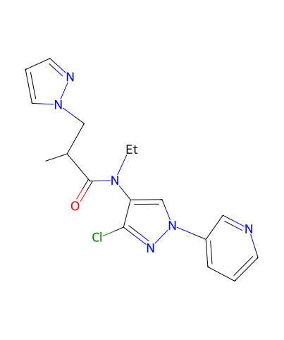 CCN(C(=O)C(C)Cn1cccn1)c1cn(-c2cccnc2)nc1Cl